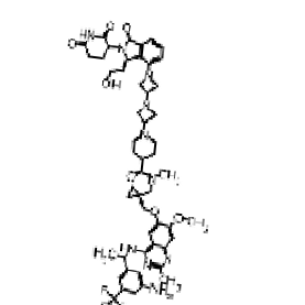 COc1cc2nc(C)nc(N[C@H](C)c3cc(N)cc(C(F)(F)F)c3)c2cc1OCC1(CN(C)C(=O)C2CCN(C3CN(C4CN(c5cccc6c5/C(=C/CO)N(C5CCC(=O)NC5=O)C6=O)C4)C3)CC2)CC1